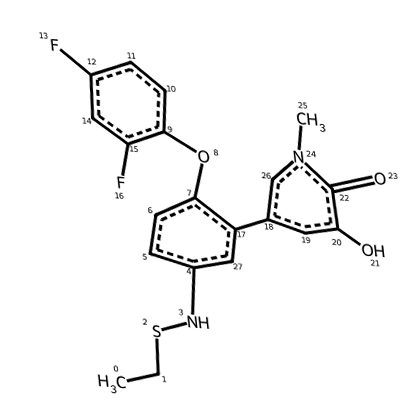 CCSNc1ccc(Oc2ccc(F)cc2F)c(-c2cc(O)c(=O)n(C)c2)c1